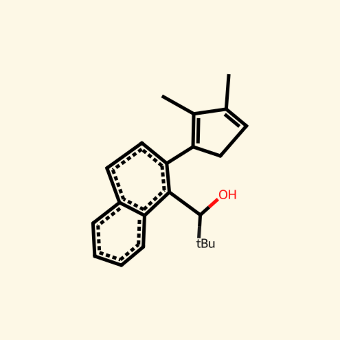 CC1=CCC(c2ccc3ccccc3c2C(O)C(C)(C)C)=C1C